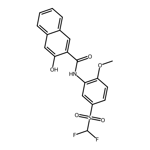 COc1ccc(S(=O)(=O)C(F)F)cc1NC(=O)c1cc2ccccc2cc1O